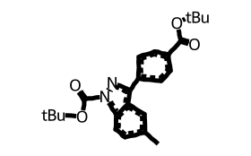 Cc1ccc2c(c1)c(-c1ccc(C(=O)OC(C)(C)C)cc1)nn2C(=O)OC(C)(C)C